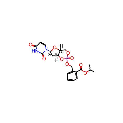 CC(C)OC(=O)c1ccccc1COP1(=O)OC[C@H]2O[C@@H](n3ccc(=O)[nH]c3=O)C[C@@H]2O1